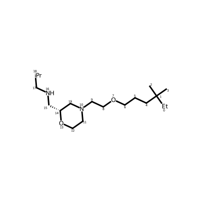 CCC(C)(C)CCCOCCN1CCO[C@H](CNCC(C)C)C1